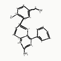 Nc1nc(-c2ccccc2)c2nc(-c3cc(CO)ccc3Cl)ccc2n1